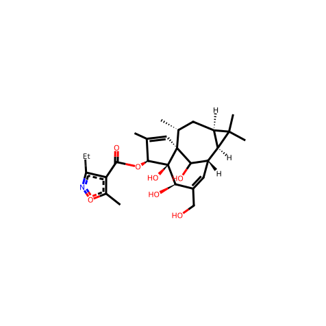 CCc1noc(C)c1C(=O)O[C@H]1C(C)=C[C@]23C(O)[C@@H](C=C(CO)[C@@H](O)[C@]12O)[C@H]1[C@@H](C[C@H]3C)C1(C)C